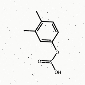 Cc1ccc(OS(=O)O)cc1C